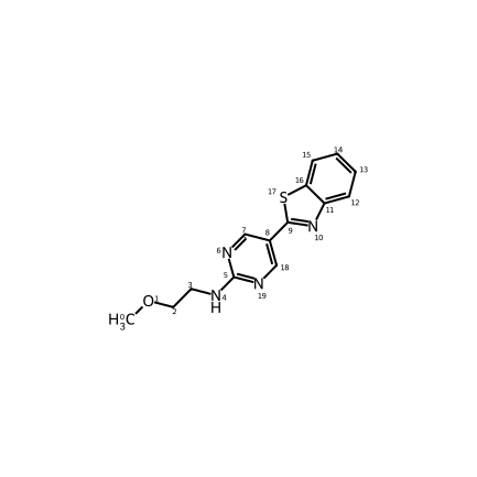 COCCNc1n[c]c(-c2nc3ccccc3s2)cn1